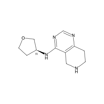 c1nc2c(c(N[C@H]3CCOC3)n1)CNCC2